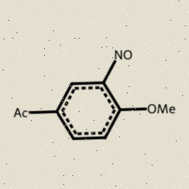 COc1ccc(C(C)=O)cc1N=O